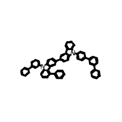 c1ccc(-c2cccc(-c3ccc(-n4c5ccccc5c5cc(-c6ccc7c(c6)c6c(-c8ccccc8)cccc6n7-c6cccc(-c7ccccc7)c6)ccc54)cc3)c2)cc1